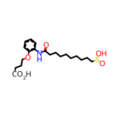 O=C(O)CCCOc1ccccc1NC(=O)CCCCCCCCCS(=O)O